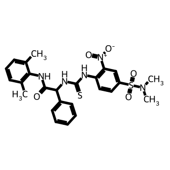 Cc1cccc(C)c1NC(=O)C(NC(=S)Nc1ccc(S(=O)(=O)N(C)C)cc1[N+](=O)[O-])c1ccccc1